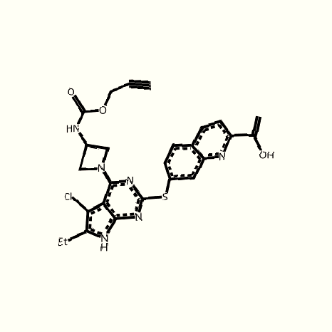 C#CCOC(=O)NC1CN(c2nc(Sc3ccc4ccc(C(=C)O)nc4c3)nc3[nH]c(CC)c(Cl)c23)C1